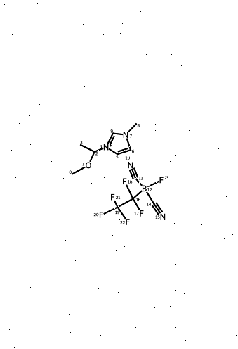 COC(C)[n+]1ccn(C)c1.N#C[B-](F)(C#N)C(F)(F)C(F)(F)F